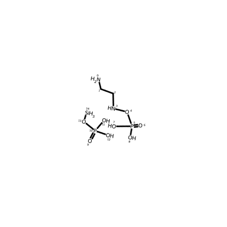 NCCNOP(=O)(O)O.O=P(O)(O)O[SiH3]